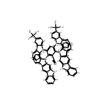 N#Cc1c(-n2c3ccccc3c3cc4c(cc32)sc2ccccc24)c(-n2c3ccccc3c3cc(C(F)(F)F)ccc32)cc(-n2c3ccccc3c3cc(C(F)(F)F)ccc32)c1-n1c2ccccc2c2cc3c(cc21)sc1ccccc13